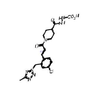 Cc1nnn(Cc2cc(Cl)ccc2/C=C/C(=O)N2CCC(C(=O)NNC(=O)O)CC2)n1